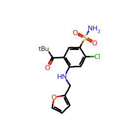 CC(C)(C)C(=O)c1cc(S(N)(=O)=O)c(Cl)cc1NCc1ccco1